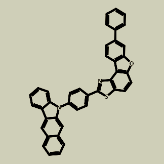 c1ccc(-c2ccc3c(c2)oc2ccc4sc(-c5ccc(-n6c7ccccc7c7cc8ccccc8cc76)cc5)nc4c23)cc1